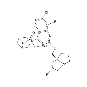 CC(C)(C)OC(=O)N1C2CC1CN(c1nc(OC[C@@]34CCCN3C[C@H](F)C4)nc3c(F)c(Cl)ncc13)C2